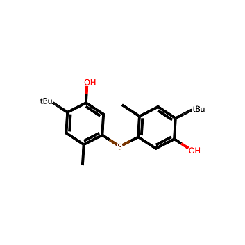 Cc1cc(C(C)(C)C)c(O)cc1Sc1cc(O)c(C(C)(C)C)cc1C